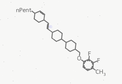 CCCCCC1C=CC(/C=C/C2CCC(C3CCC(COc4ccc(C)c(F)c4F)CC3)CC2)CC1